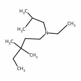 CCN(CCC(C)(C)CC)CC(C)C